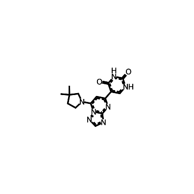 CC1(C)CCN(c2cc(-c3c[nH]c(=O)[nH]c3=O)nc3ncnn23)C1